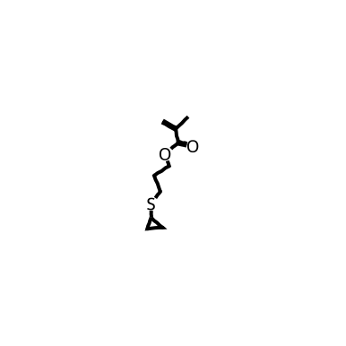 C=C(C)C(=O)OCCCSC1CC1